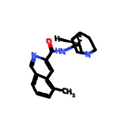 Cc1cccc2cnc(C(=O)N[C@@H]3CC4CCN(CC4)C3)cc12